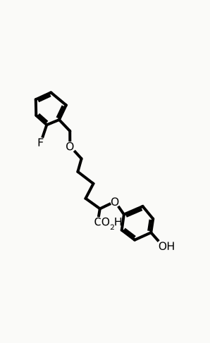 O=C(O)C(CCCCOCc1ccccc1F)Oc1ccc(O)cc1